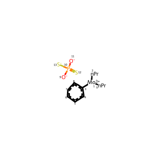 CC[CH2][Mo+3]([CH2]CC)[c]1ccccc1.[O-]P([O-])(=S)[S-]